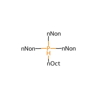 CCCCCCCCC[PH](CCCCCCCC)(CCCCCCCCC)CCCCCCCCC